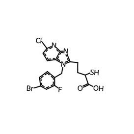 O=C(O)C(S)CCc1nc2nc(Cl)ccc2n1Cc1ccc(Br)cc1F